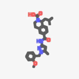 COc1ccccc1Cn1nc(NC(=O)c2ccc3c(c2)CCN(C(=O)O)C3CC(C)C)cc1C